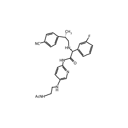 CC(=O)NCCNc1ccc(NC(=O)[C@@H](NC[C@@H](C)c2ccc(C#N)cc2)c2cccc(F)c2)nc1